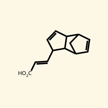 O=C(O)C=CC1C=CC2C3C=CC(C3)C12